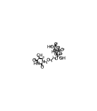 Cc1cn(COCCOP(=O)(O)OP(=O)(O)OP(=O)(O)O)c(=O)[nH]c1=O